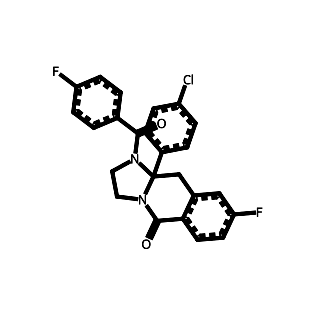 O=C(c1ccc(F)cc1)N1CCN2C(=O)c3ccc(F)cc3CC12c1ccc(Cl)cc1